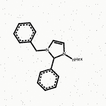 CCCCCCN1C=CN(Cc2ccccc2)C1c1ccccc1